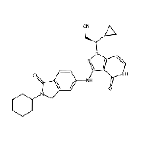 N#CC[C@@H](C1CC1)n1nc(Nc2ccc3c(c2)CN(C2CCCCC2)C3=O)c2c(=O)[nH]ccc21